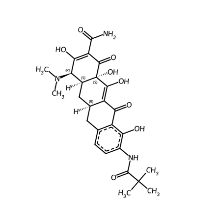 CN(C)[C@H]1C(O)=C(C(N)=O)C(=O)[C@@]2(O)C(O)=C3C(=O)c4c(ccc(NC(=O)C(C)(C)C)c4O)C[C@H]3C[C@@H]12